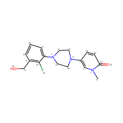 Cn1cc(N2CCN(c3cccc(CO)c3F)CC2)ccc1=O